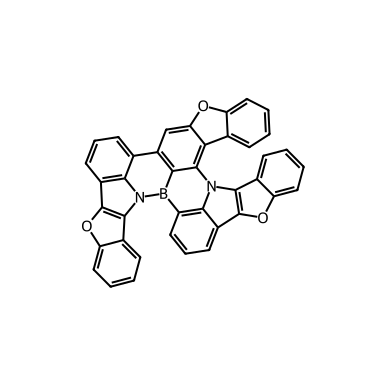 c1ccc2c(c1)oc1cc3c4c(c12)-n1c2c(cccc2c2oc5ccccc5c21)B4n1c2c-3cccc2c2oc3ccccc3c21